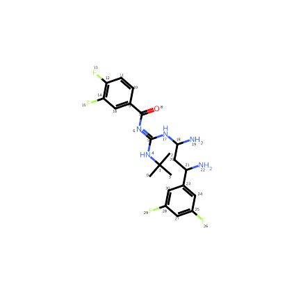 CC(C)(C)N/C(=N/C(=O)c1ccc(F)c(F)c1)NC(N)CC(N)c1cc(F)cc(F)c1